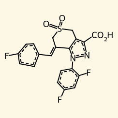 O=C(O)c1nn(-c2ccc(F)cc2F)c2c1CS(=O)(=O)C/C2=C\c1ccc(F)cc1